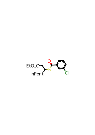 CCCCCC(CC(=O)OCC)SC(=O)c1cccc(Cl)c1